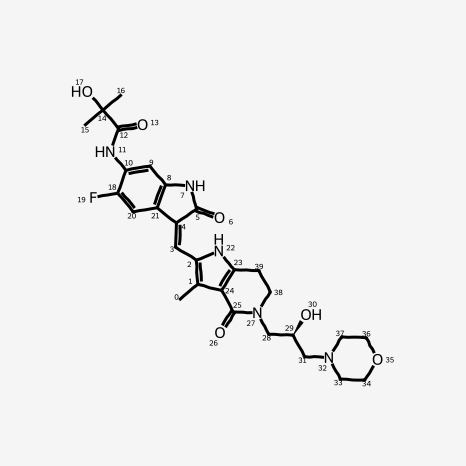 Cc1c(/C=C2\C(=O)Nc3cc(NC(=O)C(C)(C)O)c(F)cc32)[nH]c2c1C(=O)N(C[C@@H](O)CN1CCOCC1)CC2